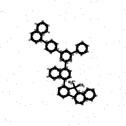 CC1(C)c2c(cccc2-c2ccc(-c3nc(-c4ccccc4)cc(-c4ccc(-c5cccc6ccccc56)cc4)n3)c3ccccc23)-c2ccc3ccccc3c21